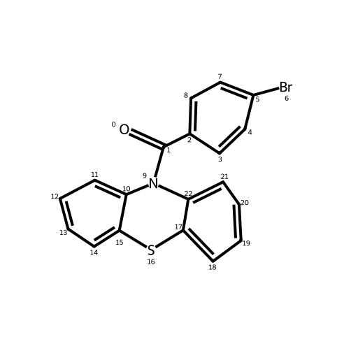 O=C(c1ccc(Br)cc1)N1c2ccccc2Sc2ccccc21